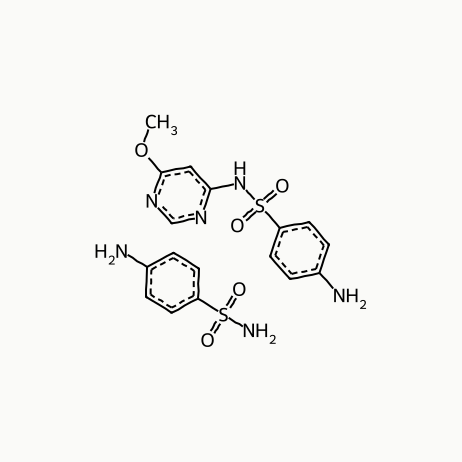 COc1cc(NS(=O)(=O)c2ccc(N)cc2)ncn1.Nc1ccc(S(N)(=O)=O)cc1